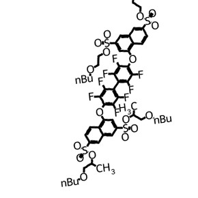 CCCCOCCOS(=O)(=O)c1ccc2c(Oc3c(F)c(F)c(-c4c(F)c(F)c(Oc5cc(S(=O)(=O)OC(C)COCCCC)cc6cc(S(=O)(=O)OC(C)COCCCC)ccc56)c(F)c4F)c(F)c3F)cc(S(=O)(=O)OCCOCCCC)cc2c1